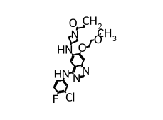 C=CC(=O)N1CC(Nc2cc3c(Nc4ccc(F)c(Cl)c4)ncnc3cc2OCCOC)C1